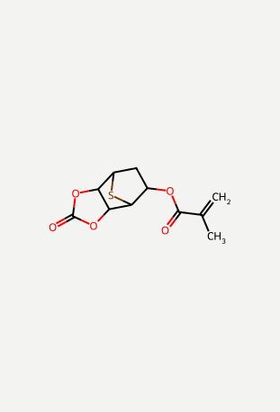 C=C(C)C(=O)OC1CC2SC1C1OC(=O)OC21